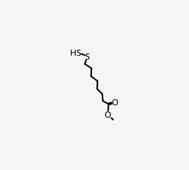 COC(=O)CCCCCCCSS